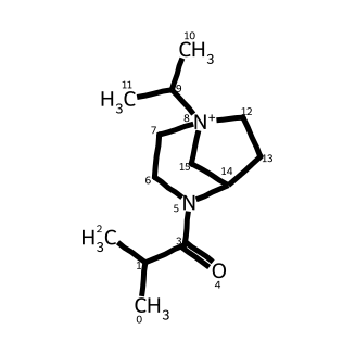 CC(C)C(=O)N1CC[N+]2(C(C)C)CCC1C2